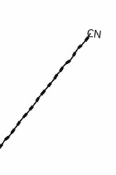 C#CC#CC#CC#CC#CC#CC#CC#CC#CC#CC#CC#CC#CC#CC#CC#CC#N